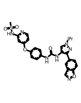 CC(C)n1cc(NC(=O)Nc2ccc(Oc3ccnc(NS(C)(=O)=O)c3)cc2)c(-c2ccc3oncc3c2)n1